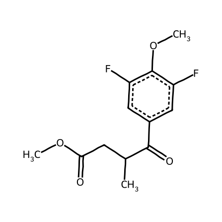 COC(=O)CC(C)C(=O)c1cc(F)c(OC)c(F)c1